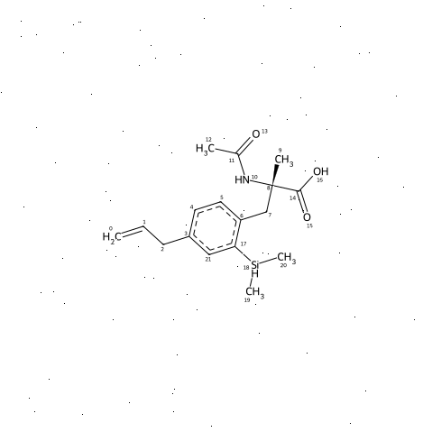 C=CCc1ccc(C[C@](C)(NC(C)=O)C(=O)O)c([SiH](C)C)c1